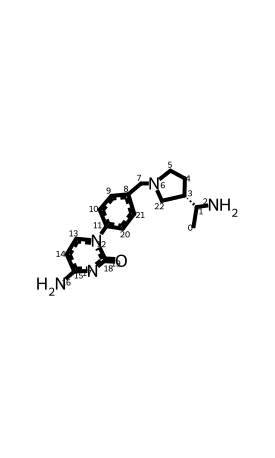 CC(N)[C@H]1CCN(Cc2ccc(-n3ccc(N)nc3=O)cc2)C1